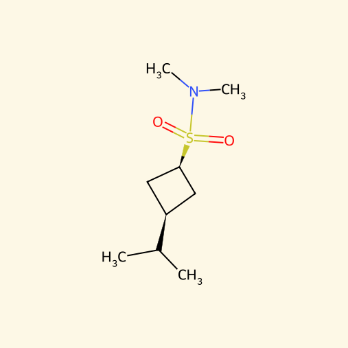 CC(C)[C@H]1C[C@@H](S(=O)(=O)N(C)C)C1